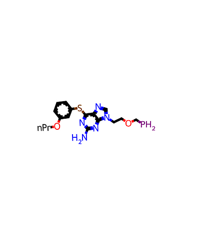 CCCOc1cccc(Sc2nc(N)nc3c2ncn3CCOCP)c1